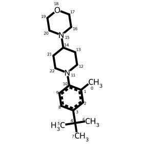 Cc1cc(C(C)(C)C)ccc1N1CCC(N2CCOCC2)CC1